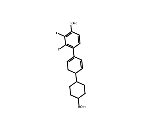 CCCCCCCCCCc1ccc(C2=CCC(C3CCC(CCCCCCCC)CC3)C=C2)c(F)c1F